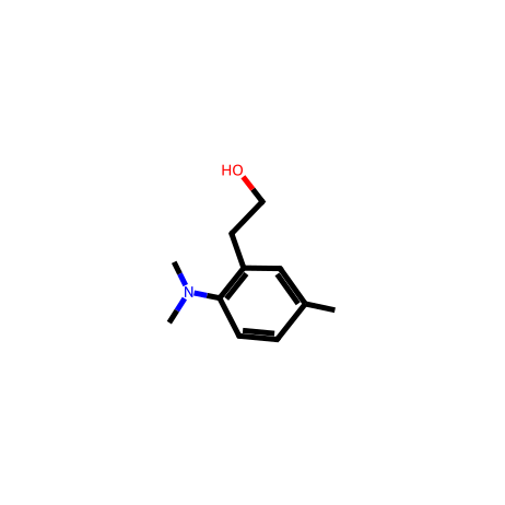 Cc1ccc(N(C)C)c(CCO)c1